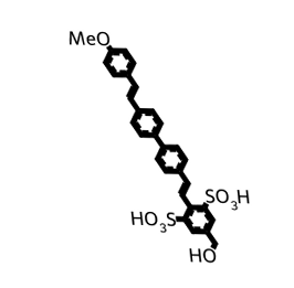 COc1ccc(C=Cc2ccc(-c3ccc(C=Cc4c(S(=O)(=O)O)cc(CO)cc4S(=O)(=O)O)cc3)cc2)cc1